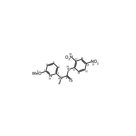 COc1cccc(N(C)C(=S)Sc2ccc([N+](=O)[O-])cc2[N+](=O)[O-])n1